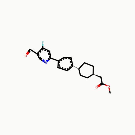 COC(=O)C[C@H]1CC[C@H](c2ccc(-c3cc(F)c(C=O)cn3)cc2)CC1